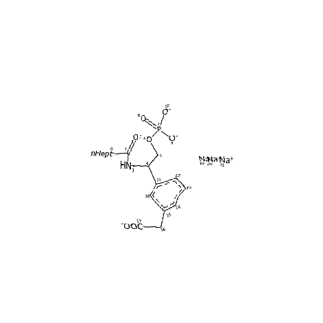 CCCCCCCC(=O)NC(COP(=O)([O-])[O-])c1cccc(CC(=O)[O-])c1.[Na+].[Na+].[Na+]